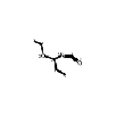 CCOC(CC)N=C=O